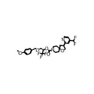 COc1ccc(COC[C@@H](OC(=O)N2CCC3(CC2)CC(c2cc(C(F)F)ccn2)CO3)C(F)(F)F)cc1